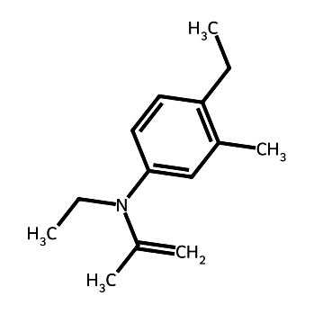 C=C(C)N(CC)c1ccc(CC)c(C)c1